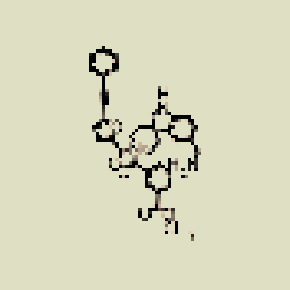 COC(=O)c1cccc(C(=O)[N+]2(C(=O)c3ccc(C#Cc4ccccc4)o3)CCC3(CC2)CNc2ccc(CN)cc23)c1